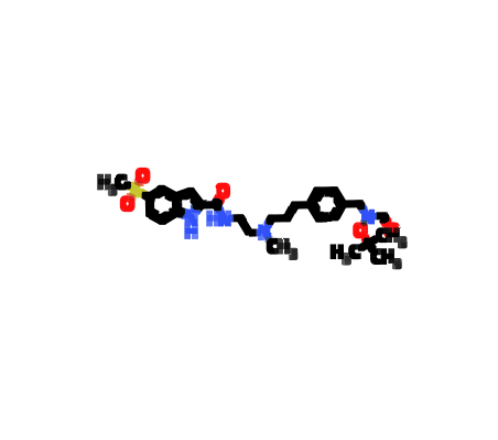 CN(CCCc1ccc(CN(C=O)OC(C)(C)C)cc1)CCNC(=O)c1cc2cc(S(C)(=O)=O)ccc2[nH]1